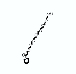 COCCOCCOCCOCCOCCOCCOCCOCCC(=O)N1CCCCC1